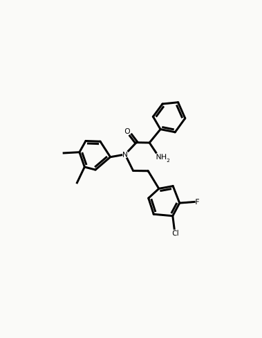 Cc1ccc(N(CCc2ccc(Cl)c(F)c2)C(=O)C(N)c2ccccc2)cc1C